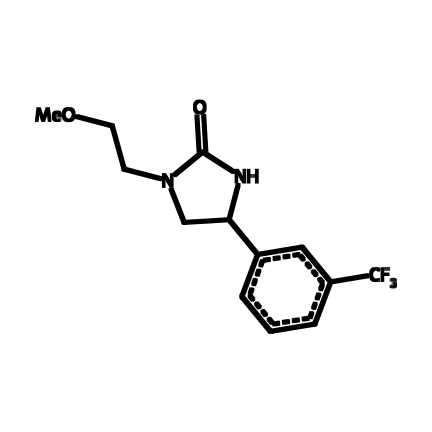 COCCN1CC(c2cccc(C(F)(F)F)c2)NC1=O